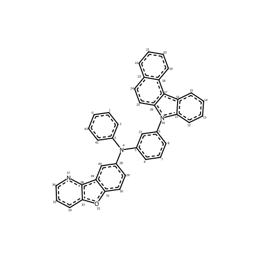 c1ccc(N(c2cccc(-n3c4ccccc4c4c5ccccc5ccc43)c2)c2ccc3oc4cccnc4c3c2)cc1